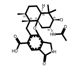 CC(=O)N[C@@H]1C[C@@]23Oc4c(c(C(=O)O)cc5c4CNC5=O)C[C@]2(C)[C@@H](C)CC[C@H]3C(C)(C)[C@H]1Cl